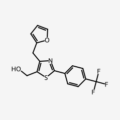 OCc1sc(-c2ccc(C(F)(F)F)cc2)nc1Cc1ccco1